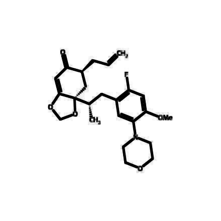 C=CC[C@H]1C[C@]2([C@@H](C)Cc3cc(N4CCOCC4)c(OC)cc3F)OCOC2=CC1=O